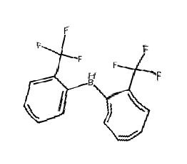 FC(F)(F)c1ccccc1Bc1ccccc1C(F)(F)F